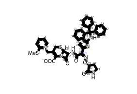 CSc1cccc[n+]1CC1=C(C(=O)[O-])N2C(=O)[C@@H](NC(=O)/C(=N\O[C@H]3CCNC3=O)c3csc(NC(c4ccccc4)(c4ccccc4)c4ccccc4)n3)[C@@H]2SC1